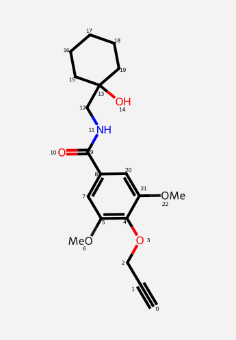 C#CCOc1c(OC)cc(C(=O)NCC2(O)CCCCC2)cc1OC